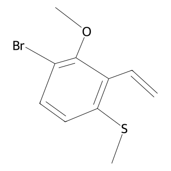 C=Cc1c(SC)ccc(Br)c1OC